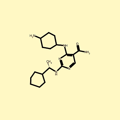 C[C@H](Nc1ncc(C(N)=O)c(NC2CCC(N)CC2)n1)C1CCCCC1